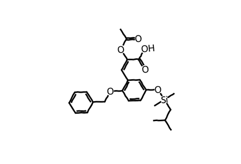 CC(=O)O/C(=C/c1cc(O[Si](C)(C)CC(C)C)ccc1OCc1ccccc1)C(=O)O